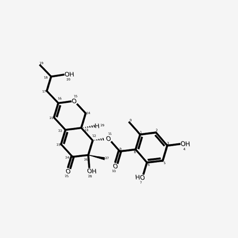 Cc1cc(O)cc(O)c1C(=O)O[C@H]1[C@@H]2COC(CC(C)O)=CC2=CC(=O)[C@@]1(C)O